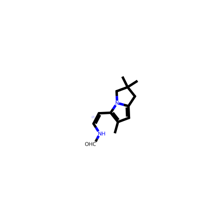 Cc1cc2n(c1/C=C\NC=O)CC(C)(C)C2